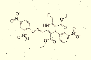 CCOC(=O)C1=C(C=NOc2ccc([N+](=O)[O-])cc2[N+](=O)[O-])NC(CF)=C(C(=O)OCC)C1c1cccc([N+](=O)[O-])c1